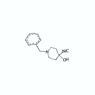 [C-]#[N+]C1(O)CCN(Cc2ccccc2)CC1